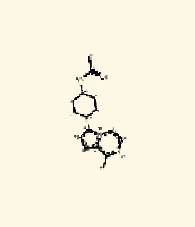 CC(=O)O[C@H]1CC[C@H](c2ncc3c(C)nccn32)CC1